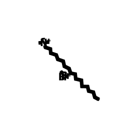 CBr.CCCCCCCCCCCCCCCCCC[N+](C)(C)C.[Br-]